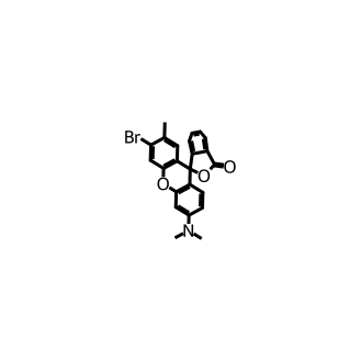 Cc1cc2c(cc1Br)Oc1cc(N(C)C)ccc1C21OC(=O)c2ccccc21